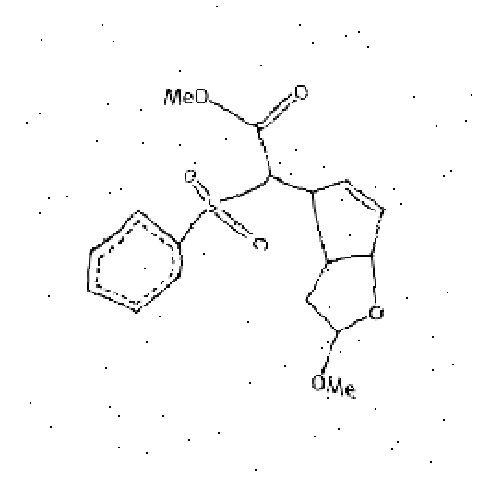 COC(=O)C(C1C=CC2OC(OC)CC21)S(=O)(=O)c1ccccc1